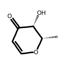 C[C@@H]1OC=CC(=O)[C@@H]1O